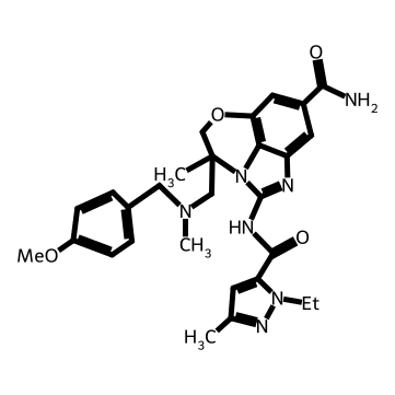 CCn1nc(C)cc1C(=O)Nc1nc2cc(C(N)=O)cc3c2n1C(C)(CN(C)Cc1ccc(OC)cc1)CO3